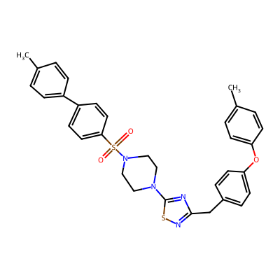 Cc1ccc(Oc2ccc(Cc3nsc(N4CCN(S(=O)(=O)c5ccc(-c6ccc(C)cc6)cc5)CC4)n3)cc2)cc1